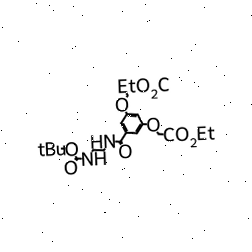 CCOC(=O)COc1cc(OCC(=O)OCC)cc(C(=O)NCCNC(=O)OC(C)(C)C)c1